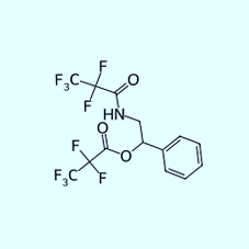 O=C(NCC(OC(=O)C(F)(F)C(F)(F)F)c1ccccc1)C(F)(F)C(F)(F)F